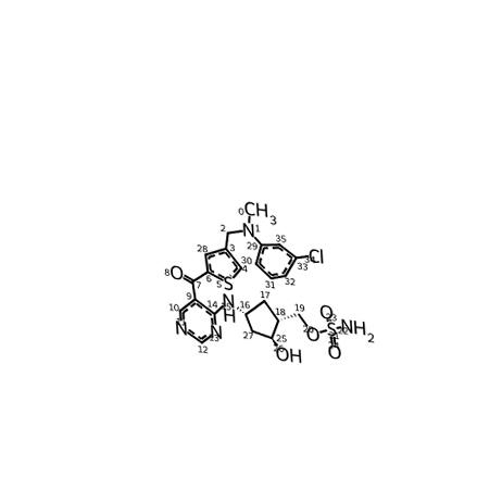 CN(Cc1csc(C(=O)c2cncnc2N[C@@H]2C[C@H](COS(N)(=O)=O)[C@@H](O)C2)c1)c1cccc(Cl)c1